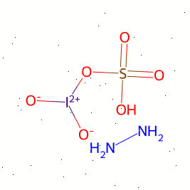 NN.O=S(=O)(O)O[I+2]([O-])[O-]